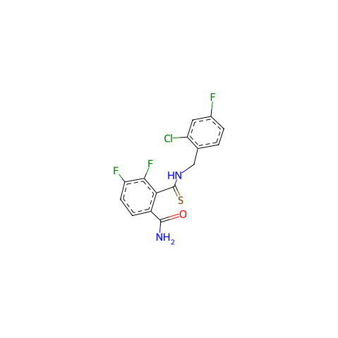 NC(=O)c1ccc(F)c(F)c1C(=S)NCc1ccc(F)cc1Cl